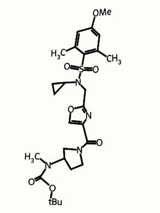 COc1cc(C)c(S(=O)(=O)N(Cc2nc(C(=O)N3CCC(N(C)C(=O)OC(C)(C)C)C3)co2)C2CC2)c(C)c1